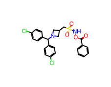 O=C(ONS(=O)(=O)CC1CN(C(c2ccc(Cl)cc2)c2ccc(Cl)cc2)C1)c1ccccc1